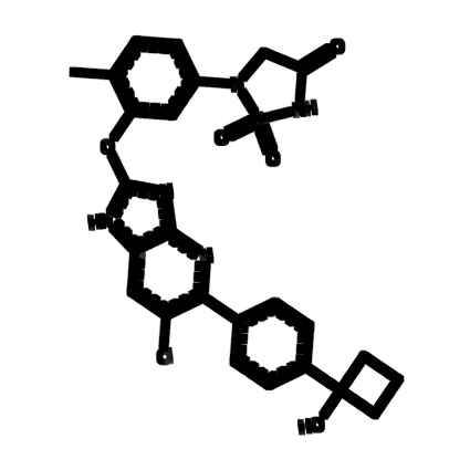 Cc1ccc(N2CC(=O)NS2(=O)=O)cc1Oc1nc2nc(-c3ccc(C4(O)CCC4)cc3)c(Cl)cc2[nH]1